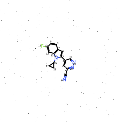 N#Cc1cc(-c2cc3ccc(F)cc3n2C2CC2)cnn1